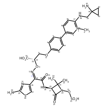 C[n+]1cc(-c2ccc(OC[C@H](O/N=C(\C(=O)N[C@@H]3C(=O)N(OS(=O)(=O)O)C3(C)C)c3csc(N)n3)C(=O)O)cc2)ccc1NCC1(N)CC1